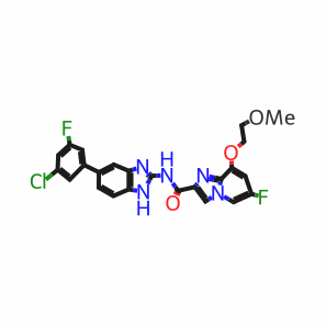 COCCOc1cc(F)cn2cc(C(=O)Nc3nc4cc(-c5cc(F)cc(Cl)c5)ccc4[nH]3)nc12